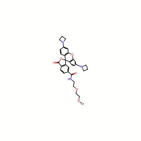 [CH2]COCCOCCNC(=O)c1ccc2c(c1)C1(OC2=O)c2ccc(N3CCC3)cc2Oc2cc(N3CCC3)ccc21